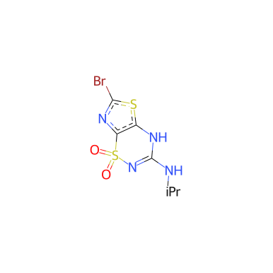 CC(C)NC1=NS(=O)(=O)c2nc(Br)sc2N1